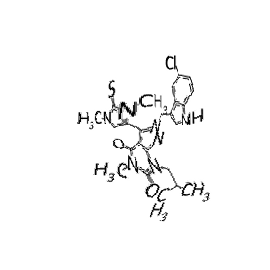 CC(C)Cn1c(=O)n(C)c(=O)c2c(-c3cn(C)c(=S)n3C)n(Cc3c[nH]c4ccc(Cl)cc34)nc21